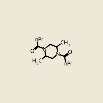 CCCC(=O)N1CC(C)N(C(=O)CCC)CC1C